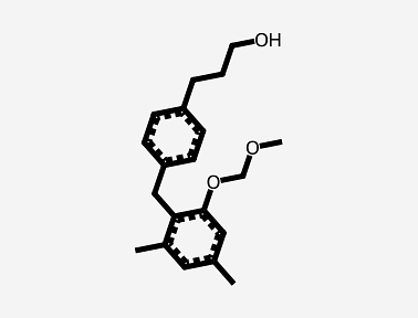 COCOc1cc(C)cc(C)c1Cc1ccc(CCCO)cc1